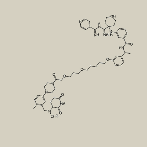 Cc1ccc(N2CCN(C(=O)COCCCOCCCCCOc3cccc([C@H](C)NC(=O)c4cccc(NC5(C(=N)NC(=N)c6ccncc6)CCNCC5)c4)c3)CC2)cc1CN(C=O)C1CCC(=O)NC1=O